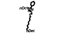 CCCCCCCCCCCCCCCCCCSSc1nc(C2CCCCC2)n(CCCCCCCC)n1